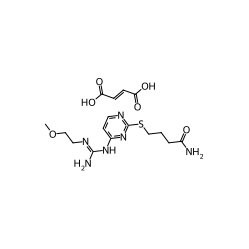 COCCN=C(N)Nc1ccnc(SCCCC(N)=O)n1.O=C(O)C=CC(=O)O